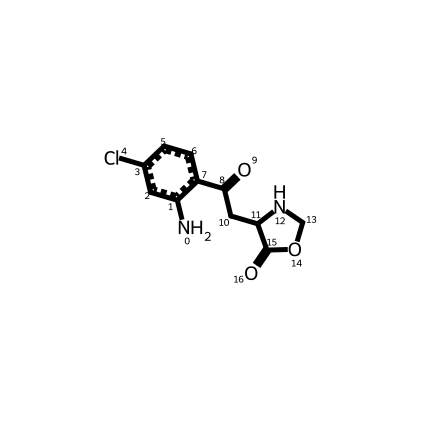 Nc1cc(Cl)ccc1C(=O)CC1NCOC1=O